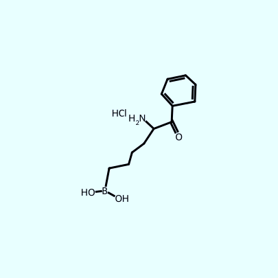 Cl.NC(CCCCB(O)O)C(=O)c1ccccc1